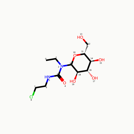 CCN(C(=O)NCCCl)C1O[C@H](CO)[C@@H](O)[C@H](O)[C@H]1O